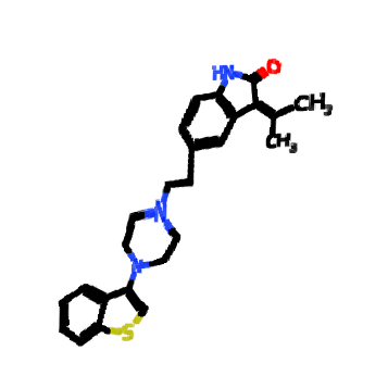 CC(C)=C1C(=O)Nc2ccc(CCN3CCN(c4csc5ccccc45)CC3)cc21